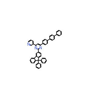 c1ccc(-c2ccc(-c3ccc(-c4cc(-c5cccnc5)nc(-c5ccc6c(c5)-c5ccccc5C6(c5ccccc5)c5ccccc5)n4)cc3)cc2)cc1